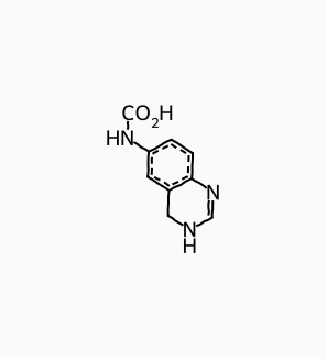 O=C(O)Nc1ccc2c(c1)CNC=N2